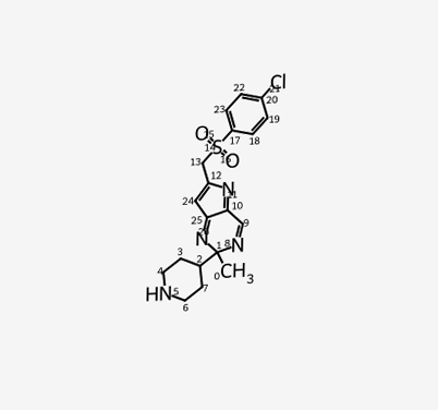 CC1(C2CCNCC2)N=CC2=NC(CS(=O)(=O)c3ccc(Cl)cc3)=CC2=N1